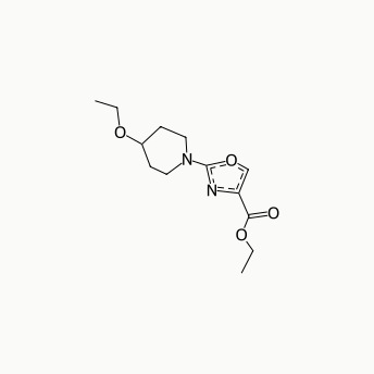 CCOC(=O)c1coc(N2CCC(OCC)CC2)n1